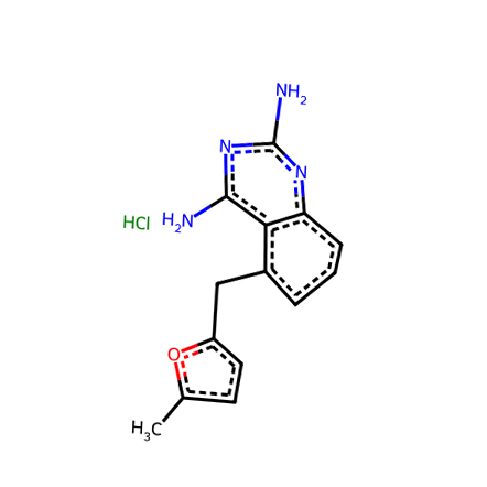 Cc1ccc(Cc2cccc3nc(N)nc(N)c23)o1.Cl